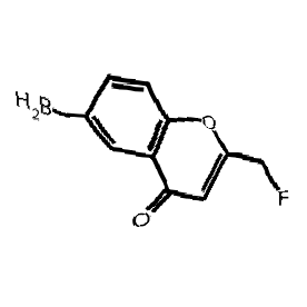 Bc1ccc2oc(CF)cc(=O)c2c1